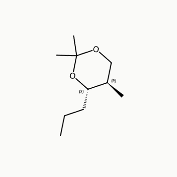 CCC[C@@H]1OC(C)(C)OC[C@H]1C